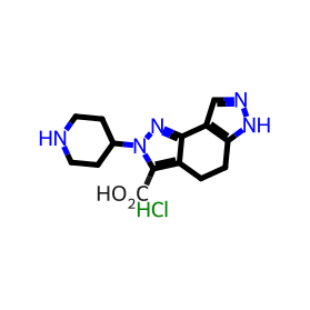 Cl.O=C(O)c1c2c(nn1C1CCNCC1)-c1cn[nH]c1CC2